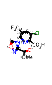 COC(=O)c1ncon1.O=C(O)c1ncc(C(F)(F)F)cc1Cl